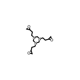 C(CN1CN(CCC2CO2)CN(CCC2CO2)C1)C1CO1